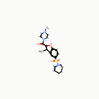 CC1c2cc(S(=O)(=O)N3CCCCCC3)ccc2OC1C(=O)N1CCN(C)CC1